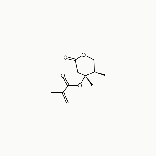 C=C(C)C(=O)O[C@]1(C)CC(=O)OC[C@H]1C